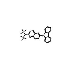 CS(C)(C)C(c1ccc2cc(-n3c4ccccc4c4ccccc43)ccc2n1)S(C)(C)C